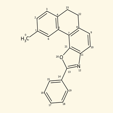 Cc1ccc2c(c1)-c1c(ccc3nc(-c4ccccc4)oc13)CC2